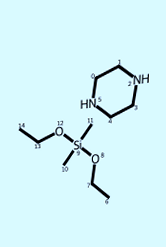 C1CNCCN1.CCO[Si](C)(C)OCC